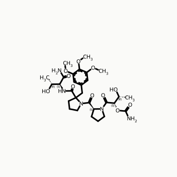 COc1cc(CC2(C(=O)N[C@H](C(N)=O)[C@@H](C)O)CCCN2C(=O)[C@@H]2CCCN2C(=O)[C@@H](OC(N)=O)[C@@H](C)O)cc(OC)c1OC